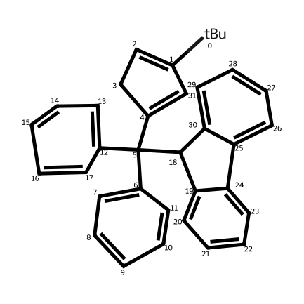 CC(C)(C)C1=CCC(C(c2ccccc2)(c2ccccc2)C2c3ccccc3-c3ccccc32)=C1